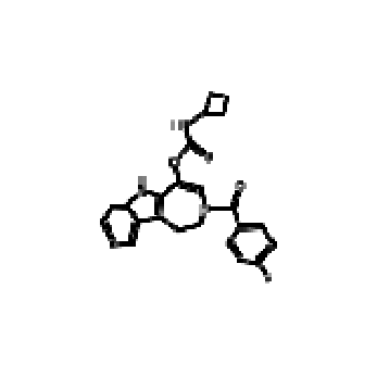 O=C(NC1CCC1)OC1=CN(C(=O)c2ccc(F)cc2)CCc2c1[nH]c1ccccc21